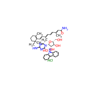 CC1=C(/C=C/C(C)=C/C=C/C(C)=C/C(N)=O)C(C)(C)CCC1.Cl.N=c1ncn([C@@H]2O[C@H](CO)[C@@H](O)[C@@H]2O)c(O)n1.c1ccc2c(c1)[nH]c1ccccc12